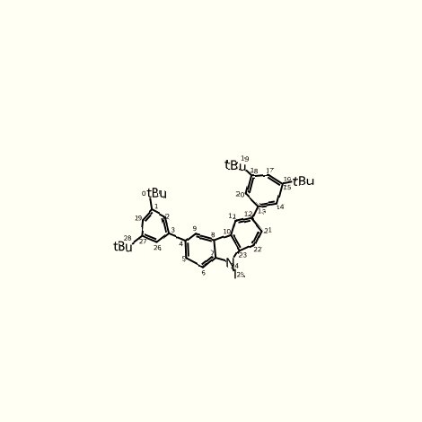 CC(C)(C)c1cc(-c2ccc3c(c2)c2cc(-c4cc(C(C)(C)C)cc(C(C)(C)C)c4)ccc2n3I)cc(C(C)(C)C)c1